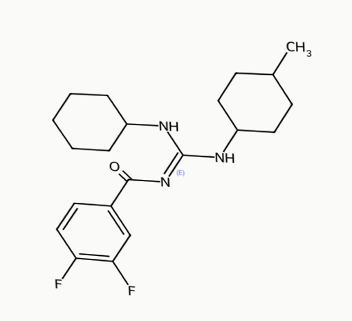 CC1CCC(N/C(=N/C(=O)c2ccc(F)c(F)c2)NC2CCCCC2)CC1